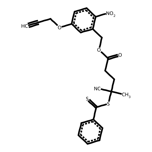 C#CCOc1ccc([N+](=O)[O-])c(COC(=O)CCC(C)(C#N)SC(=S)c2ccccc2)c1